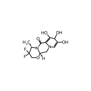 C[C@H]1N2C(=O)C3=C(O)C(O)C(O)=CN3C[C@@H]2OCC1(F)F